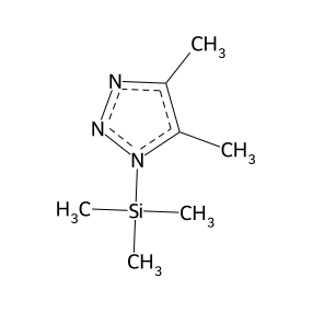 Cc1nnn([Si](C)(C)C)c1C